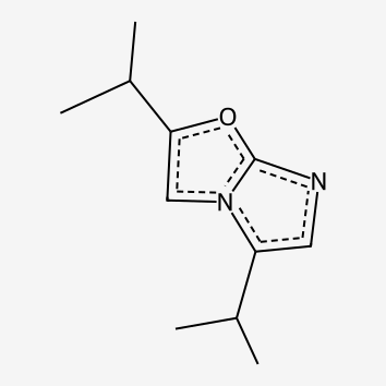 CC(C)c1cn2c(C(C)C)cnc2o1